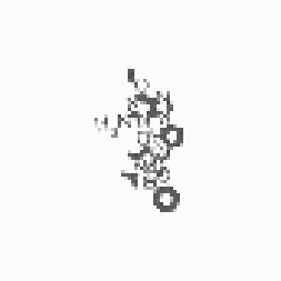 CCOc1nc(N)nc2c1ncn2[C@H]1C=C[C@@H](CO[P@@](=O)(Oc2ccccc2)N(C(C)C)C(C)C(=O)O)C1